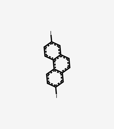 Ic1ccc2c(ccc3cc(I)ccc32)c1